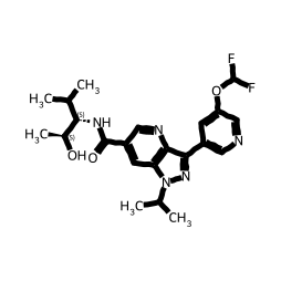 CC(C)[C@H](NC(=O)c1cnc2c(-c3cncc(OC(F)F)c3)nn(C(C)C)c2c1)[C@H](C)O